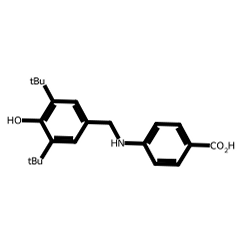 CC(C)(C)c1cc(CNc2ccc(C(=O)O)cc2)cc(C(C)(C)C)c1O